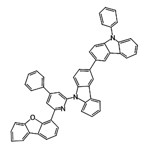 c1ccc(-c2cc(-c3cccc4c3oc3ccccc34)nc(-n3c4ccccc4c4cc(-c5ccc6c(c5)c5ccccc5n6-c5ccccc5)ccc43)c2)cc1